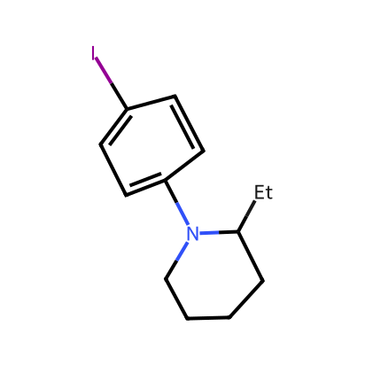 CCC1CCCCN1c1ccc(I)cc1